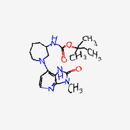 Cn1c(=O)[nH]c2c(N3CCCCC(NC(=O)OC(C)(C)C)C3)ccnc21